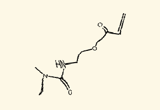 C=CC(=O)OCCNC(=O)N(C)C